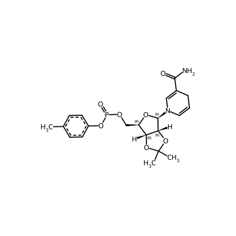 Cc1ccc(O[P](=O)OC[C@H]2O[C@@H](N3C=CCC(C(N)=O)=C3)[C@@H]3OC(C)(C)O[C@@H]32)cc1